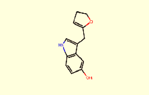 Oc1ccc2[nH]cc(CC3=CCCO3)c2c1